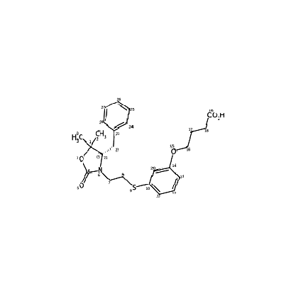 CC1(C)OC(=O)N(CCSc2cccc(OCCCC(=O)O)c2)[C@H]1Cc1ccccc1